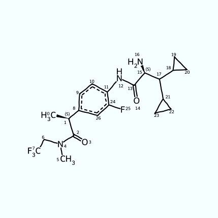 C[C@H](C(=O)N(C)CC(F)(F)F)c1ccc(NC(=O)[C@@H](N)C(C2CC2)C2CC2)c(F)c1